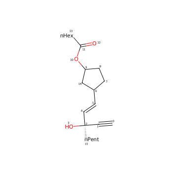 C#C[C@@](O)(C=CC1CCC(OC(=O)CCCCCC)C1)CCCCC